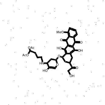 COc1cccc2c1C(=O)c1c(O)c3c(c(O)c1C2=O)CC(C(=O)CO)CC3OC1CC(NCCCC(OC(C)=O)OC(C)=O)C(O)=CO1